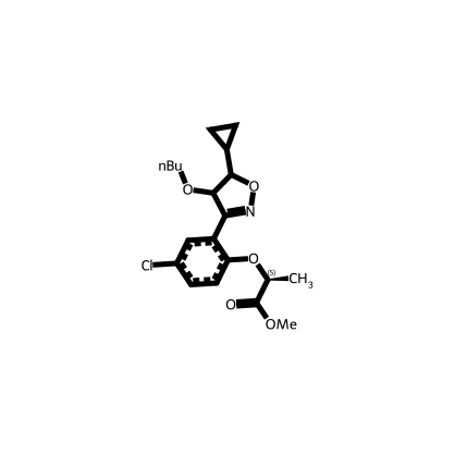 CCCCOC1C(c2cc(Cl)ccc2O[C@@H](C)C(=O)OC)=NOC1C1CC1